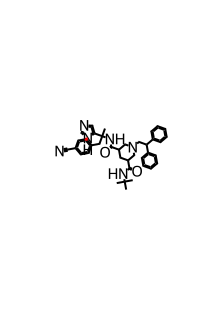 CC(C)(C)NC(=O)C1CC(C(=O)NC(C)(Cc2ccc(C#N)cc2)c2cnc[nH]2)CN(CC(c2ccccc2)c2ccccc2)C1